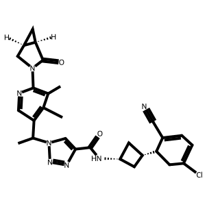 Cc1c(C(C)n2cc(C(=O)N[C@H]3C[C@@H](C4CC(Cl)=CC=C4C#N)C3)nn2)cnc(N2C[C@H]3C[C@H]3C2=O)c1C